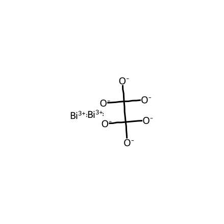 [Bi+3].[Bi+3].[O-]C([O-])([O-])C([O-])([O-])[O-]